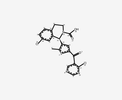 Cc1sc(C(=O)c2cncnc2Cl)cc1[C@H]1c2cc(Cl)ccc2CCN1C(=O)O